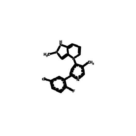 Cc1cnc(-c2cc(Cl)ccc2F)cc1N1C=CC=C2NN(C)C=C21